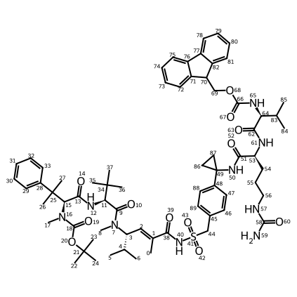 C/C(=C\[C@H](C(C)C)N(C)C(=O)[C@@H](NC(=O)[C@@H](N(C)C(=O)OC(C)(C)C)C(C)(C)c1ccccc1)C(C)(C)C)C(=O)NS(=O)(=O)Cc1ccc(C2(NC(=O)[C@H](CCCNC(N)=O)NC(=O)[C@@H](NC(=O)OCC3c4ccccc4-c4ccccc43)C(C)C)CC2)cc1